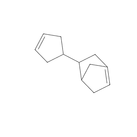 C1=CCC(C2CC3=CCC2C3)C1